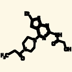 CCc1cc2c(N3CCN(C(=O)CC(F)(F)F)CC3)nc(NC(=O)CO)nc2s1